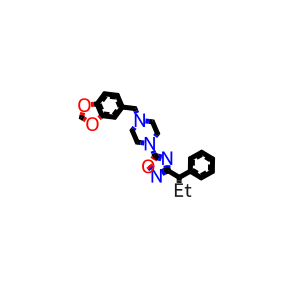 CCC(c1ccccc1)c1noc(N2CCN(Cc3ccc4c(c3)OCO4)CC2)n1